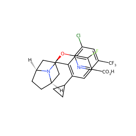 O=C(O)c1cc(C2CC2)c(CN2[C@@H]3CC[C@H]2C[C@@H](Oc2ncc(C(F)(F)F)cc2Cl)C3)cc1F